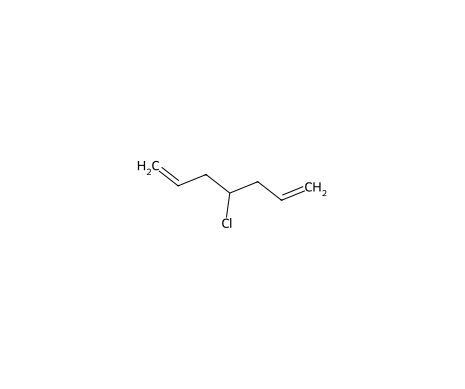 C=CCC(Cl)CC=C